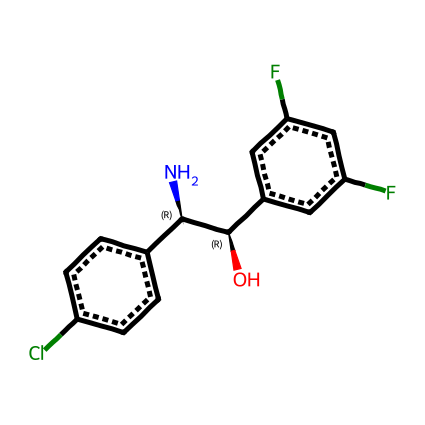 N[C@H](c1ccc(Cl)cc1)[C@H](O)c1cc(F)cc(F)c1